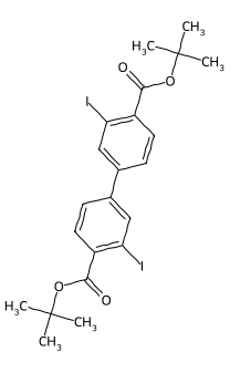 CC(C)(C)OC(=O)c1ccc(-c2ccc(C(=O)OC(C)(C)C)c(I)c2)cc1I